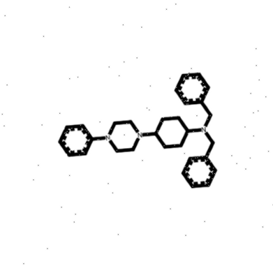 c1ccc(CN(Cc2ccccc2)C2CCC(N3CCN(c4ccccc4)CC3)CC2)cc1